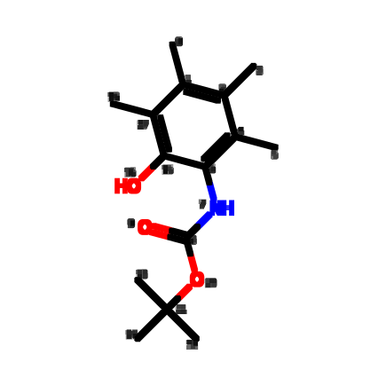 Cc1c(C)c(C)c(NC(=O)OC(C)(C)C)c(O)c1C